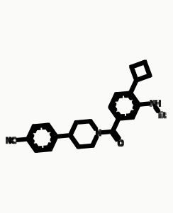 CCNc1cc(C(=O)N2CCC(c3ccc(C#N)cc3)CC2)ccc1C1CCC1